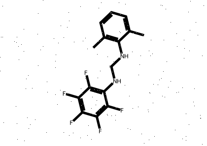 Cc1cccc(C)c1N[C]Nc1c(F)c(F)c(F)c(F)c1F